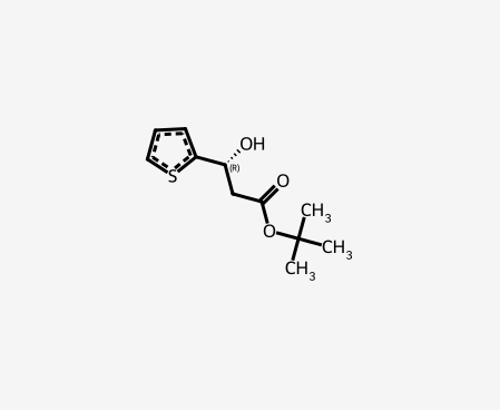 CC(C)(C)OC(=O)C[C@@H](O)c1cccs1